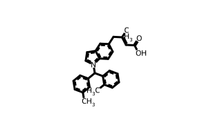 CC(=CC(=O)O)Cc1ccc2c(ccn2C(c2cccc(C)c2)c2ccccc2C)c1